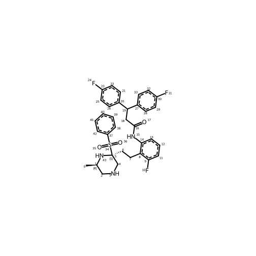 C[C@@H]1CNC[C@](CCc2c(F)cccc2NC(=O)CC(c2ccc(F)cc2)c2ccc(F)cc2)(S(=O)(=O)c2ccccc2)N1